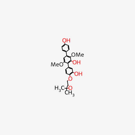 COc1cc(-c2ccc(O)cc2)c(OC)c(O)c1-c1ccc(OCC2OC2(C)C)c(O)c1